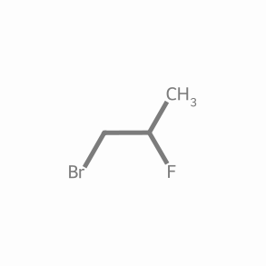 CC(F)CBr